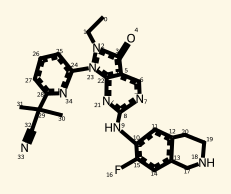 CCn1c(=O)c2cnc(Nc3cc4c(cc3F)CNCC4)nc2n1-c1cccc(C(C)(C)C#N)n1